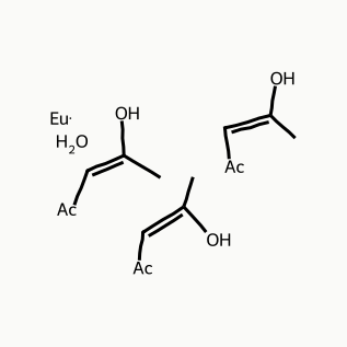 CC(=O)/C=C(/C)O.CC(=O)/C=C(\C)O.CC(=O)/C=C(\C)O.O.[Eu]